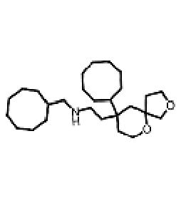 C1CCCC(CNCCC2(C3CCCCCCC3)CCOC3(CCOC3)C2)CCC1